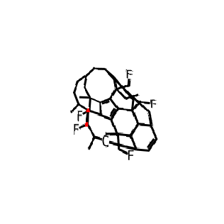 CCC1(CF)C2=C3C4C5=C2C2(CF)CC1C1CC(CCC(C)C4(CF)CC(C)CC4C=CC(C1)C2C4C5(C)CF)CC3(C)CF